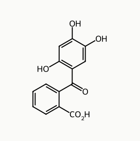 O=C(O)c1ccccc1C(=O)c1cc(O)c(O)cc1O